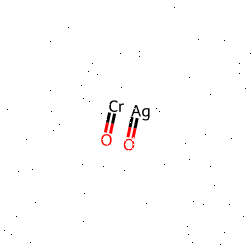 [O]=[Ag].[O]=[Cr]